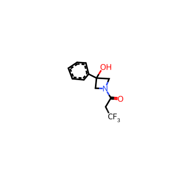 O=C(CC(F)(F)F)N1CC(O)(c2ccccc2)C1